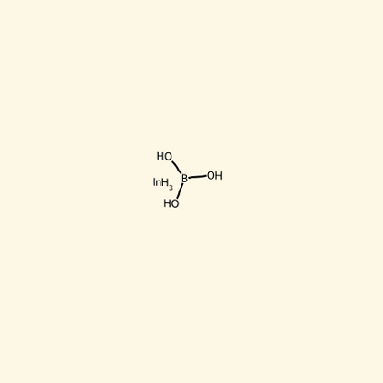 OB(O)O.[InH3]